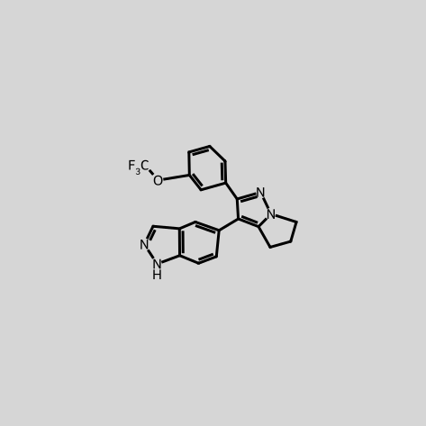 FC(F)(F)Oc1cccc(-c2nn3c(c2-c2ccc4[nH]ncc4c2)CCC3)c1